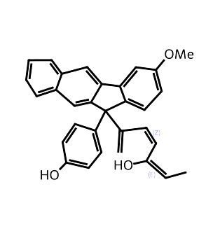 C=C(/C=C\C(O)=C/C)C1(c2ccc(O)cc2)c2ccc(OC)cc2-c2cc3ccccc3cc21